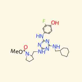 COC(=O)N1CCCC1CNc1nc(NCC2CCCCC2)nc(Nc2ccc(O)c(F)c2)n1